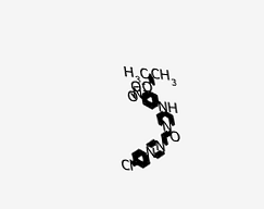 CC(C)COc1cc(NC2CCN(C(=O)CCN3CCN(c4ccc(Cl)cc4)CC3)CC2)ccc1[N+](=O)[O-]